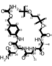 C[C@@H](NC(=O)COC(C)(C)CCOC(C)(C)C)C(=O)N[C@H](C)C(=O)N[C@H](CC(N)=O)C(=O)Nc1ccc(COC(N)=O)cc1